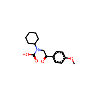 COc1ccc(C(=O)CN(C(=O)O)C2CCCCC2)cc1